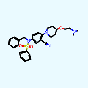 CN(C)CCOC1CCN(c2ccc(N(Cc3ccccc3)S(=O)(=O)c3ccccc3)cc2C#N)CC1